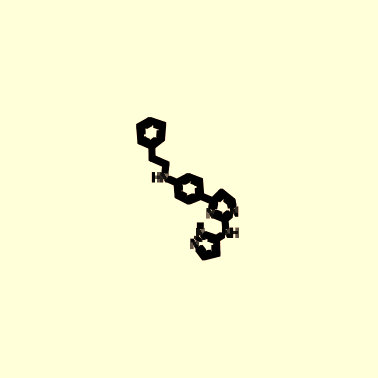 Cn1nccc1Nc1nccc(-c2ccc(NCCc3ccccc3)cc2)n1